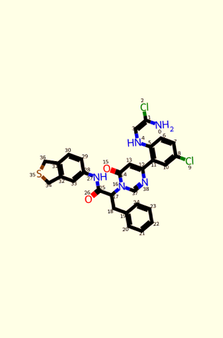 N/C(Cl)=C\Nc1ccc(Cl)cc1-c1cc(=O)n(C(Cc2ccccc2)C(=O)Nc2ccc3c(c2)CSC3)cn1